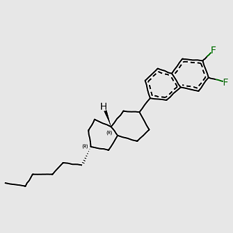 CCCCCC[C@@H]1CC[C@@H]2CC(c3ccc4cc(F)c(F)cc4c3)CCC2C1